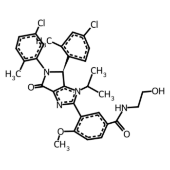 COc1ccc(C(=O)NCCO)cc1-c1nc2c(n1C(C)C)[C@H](c1ccc(Cl)cc1C)N(c1cc(Cl)ccc1C)C2=O